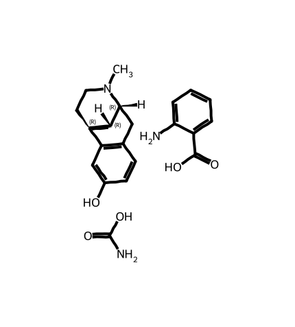 CN1CC[C@]23CCCC[C@H]2[C@H]1Cc1ccc(O)cc13.NC(=O)O.Nc1ccccc1C(=O)O